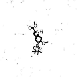 COC(=O)c1cc2cc(B3OC(C)(C)C(C)(C)O3)c(OC)cc2[nH]1